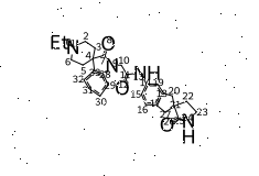 CCN1CCC2(CC1)C(=O)N(CC(=O)Nc1ccc3c(c1)CC1(CCNC1=O)C3)c1ccccc12